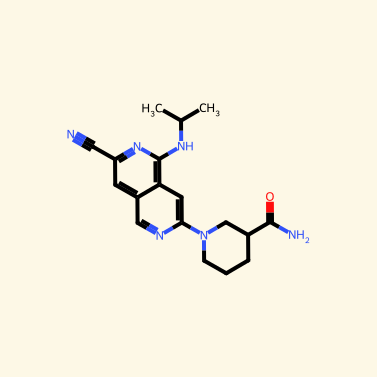 CC(C)Nc1nc(C#N)cc2cnc(N3CCCC(C(N)=O)C3)cc12